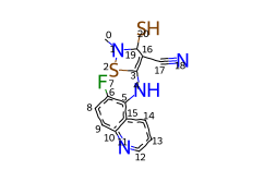 CN1SC(Nc2c(F)ccc3ncccc23)=C(C#N)C1S